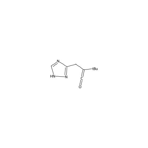 CC(C)(C)C(=C=O)Cc1nc[nH]n1